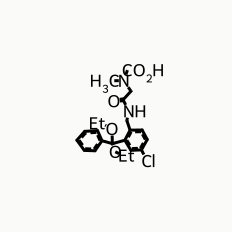 CCOC(OCC)(c1ccccc1)c1cc(Cl)ccc1CNC(=O)CN(C)C(=O)O